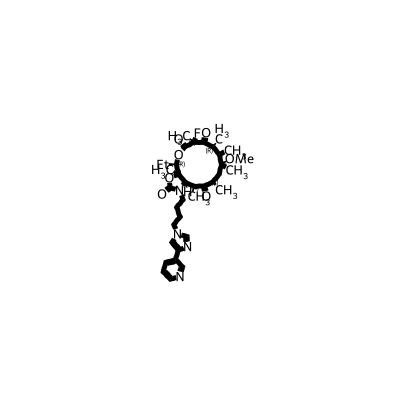 CC[C@H]1OC(=O)[C@@](C)(F)C(=O)[C@H](C)C(C)[C@](C)(OC)C[C@@H](C)C(=O)[C@H](C)[C@H]2N(CCCCn3cnc(-c4cccnc4)c3)C(=O)O[C@]12C